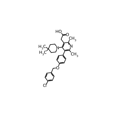 Cc1nc(C)c(-c2ccc(OCc3ccc(Cl)cc3)cc2)c(N2CCC(C)(C)CC2)c1CC(=O)O